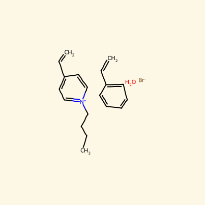 C=Cc1cc[n+](CCCC)cc1.C=Cc1ccccc1.O.[Br-]